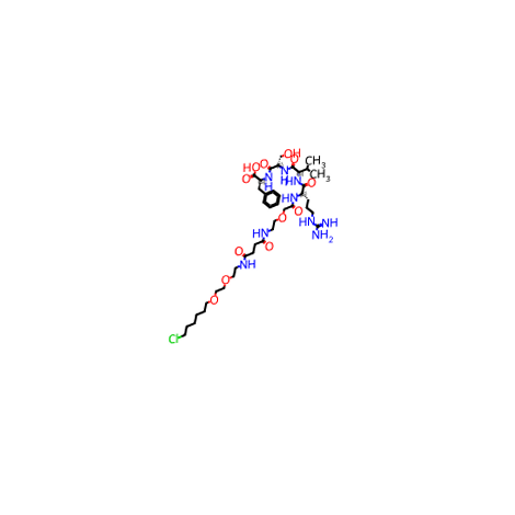 CC(C)[C@H](NC(=O)[C@H](CCCNC(=N)N)NC(=O)COCCNC(=O)CCC(=O)NCCOCCOCCCCCCCl)C(=O)N[C@@H](CO)C(=O)N[C@@H](Cc1ccccc1)C(=O)O